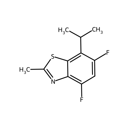 Cc1nc2c(F)cc(F)c(C(C)C)c2s1